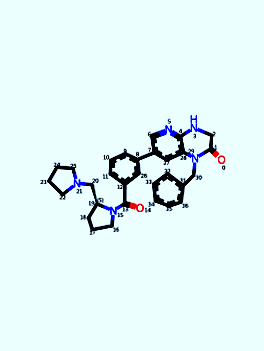 O=C1CNc2ncc(-c3cccc(C(=O)N4CCC[C@H]4CN4CCCC4)c3)cc2N1Cc1ccccc1